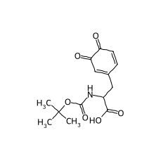 CC(C)(C)OC(=O)NC(CC1=CC(=O)C(=O)C=C1)C(=O)O